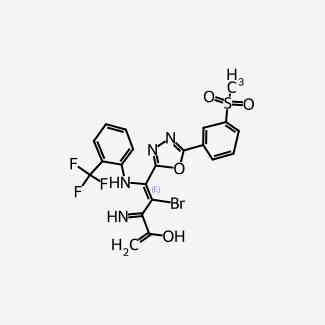 C=C(O)C(=N)/C(Br)=C(\Nc1ccccc1C(F)(F)F)c1nnc(-c2cccc(S(C)(=O)=O)c2)o1